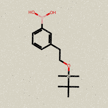 CC(C)(C)[Si](C)(C)OCCc1cccc(B(O)O)c1